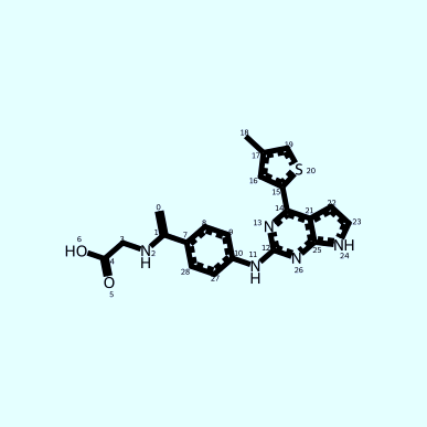 C=C(NCC(=O)O)c1ccc(Nc2nc(-c3cc(C)cs3)c3cc[nH]c3n2)cc1